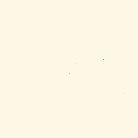 Cc1c(NC(=O)c2ccc(-c3ccc4c(c3)OCCO4)cc2)ccc2cc(Cn3cccc3)cnc12